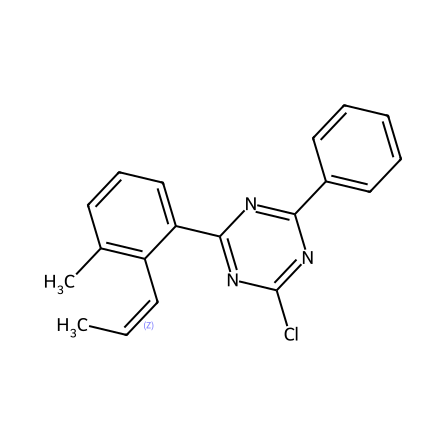 C/C=C\c1c(C)cccc1-c1nc(Cl)nc(-c2ccccc2)n1